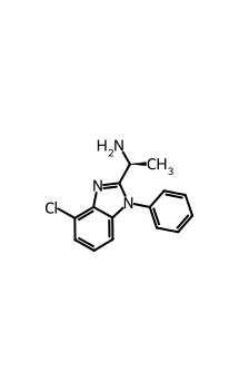 C[C@H](N)c1nc2c(Cl)cccc2n1-c1ccccc1